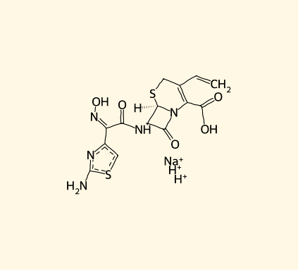 C=CC1=C(C(=O)O)N2C(=O)[C@@H](NC(=O)/C(=N\O)c3csc(N)n3)[C@H]2SC1.[H+].[H+].[Na+]